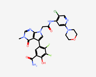 Cn1cnc2c(c(-c3cc(C(N)=O)c(O)c(F)c3F)cn2CC(=O)Nc2cc(N3CCOCC3)ncc2Cl)c1=O